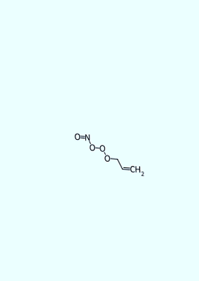 C=CCOOON=O